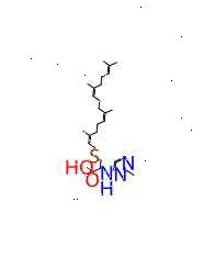 CC(C)=CCCC(C)=CCCC(C)=CCCC(C)=CCSCC(Nc1ccnc(C)n1)C(=O)O